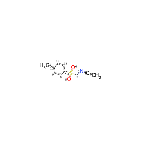 C=C=NCS(=O)(=O)c1ccc(C)cc1